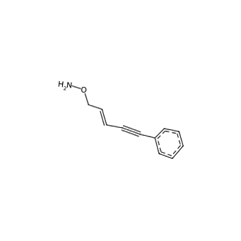 NOCC=CC#Cc1ccccc1